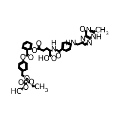 C#COP(=O)(OCC)OCc1ccc(OC(=O)c2ccccc2OC(=O)CCC(NC(=O)c2ccc(NCc3cnc4[nH]c(C)nc(=O)c4n3)cc2)C(=O)O)cc1